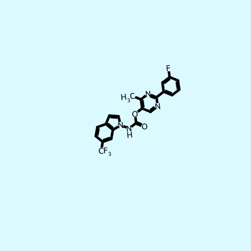 Cc1nc(-c2cccc(F)c2)ncc1OC(=O)Nn1ccc2ccc(C(F)(F)F)cc21